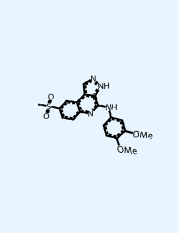 COc1ccc(Nc2nc3ccc(S(C)(=O)=O)cc3c3cn[nH]c23)cc1OC